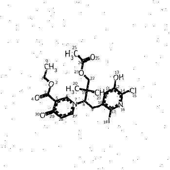 CCOC(=O)c1cn(C(Cc2cc(O)c(Cl)nc2I)C(C)(C)COC(C)=O)ccc1=O